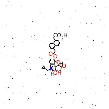 O=C(O)Cc1cccc2c(CC(=O)Oc3ccc4c5c3O[C@H]3C(=O)CC[C@@]6(O)[C@@H](C4)N(CC4CC4)CC[C@]536)cccc12